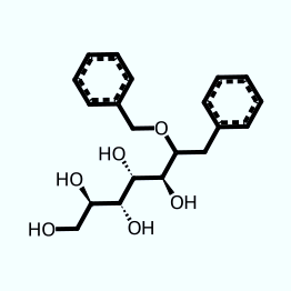 OC[C@@H](O)[C@@H](O)[C@H](O)[C@H](O)C(Cc1ccccc1)OCc1ccccc1